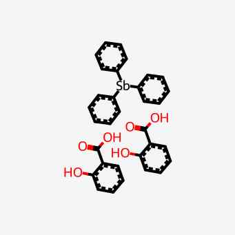 O=C(O)c1ccccc1O.O=C(O)c1ccccc1O.c1cc[c]([Sb]([c]2ccccc2)[c]2ccccc2)cc1